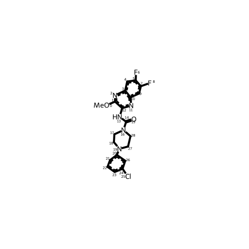 COc1nc2cc(F)c(F)cc2nc1NC(=O)N1CCN(c2cccc(Cl)c2)CC1